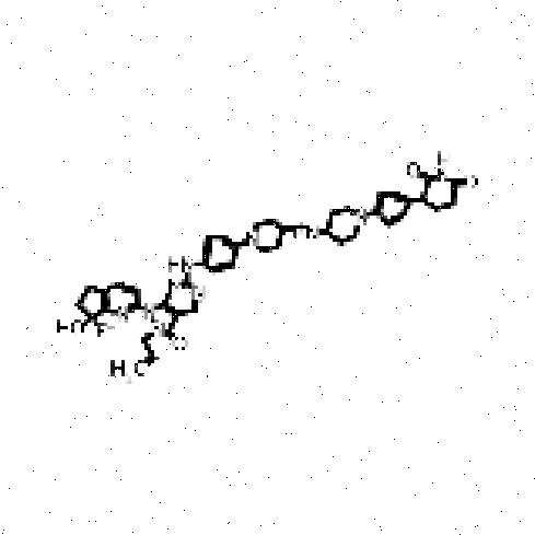 C=CCn1c(=O)c2cnc(Nc3ccc(N4CCC(CNC5CCN(c6ccc([C@@H]7CCC(=O)NC7=O)cc6)CC5)CC4)cc3)nc2n1-c1ccc2c(n1)[C@@](O)(CC)CC2